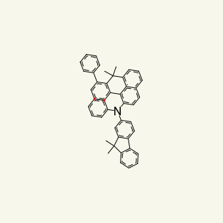 CC1(C)c2ccccc2-c2ccc(N(c3ccccc3)c3ccc4cccc5c4c3-c3cccc(-c4ccccc4)c3C5(C)C)cc21